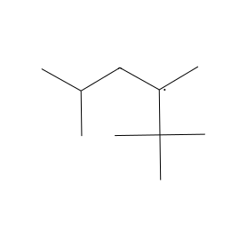 C[C](CC(C)C)C(C)(C)C